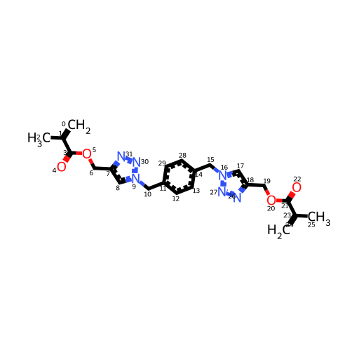 C=C(C)C(=O)OCc1cn(Cc2ccc(Cn3cc(COC(=O)C(=C)C)nn3)cc2)nn1